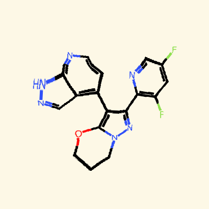 Fc1cnc(-c2nn3c(c2-c2ccnc4[nH]ncc24)OCCC3)c(F)c1